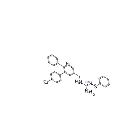 N/C(=N\Sc1ccccc1)NCc1cnc(-c2ccccc2)c(-c2ccc(Cl)cc2)c1